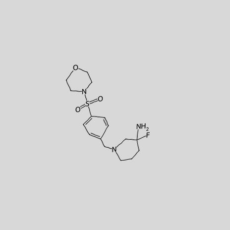 NC1(F)CCCN(Cc2ccc(S(=O)(=O)N3CCOCC3)cc2)C1